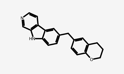 c1cc2c(cn1)[nH]c1ccc(Cc3ccc4c(c3)CCCO4)cc12